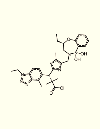 CC[C@@H]1CN(Cc2nc([C@@H](c3ccc4c(nnn4CC)c3C)C(C)(C)C(=O)O)sc2C)S(O)(O)c2ccccc2O1